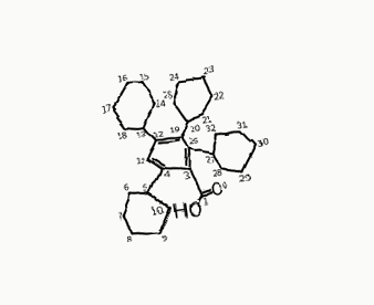 O=C(O)c1c(C2CCCCC2)cc(C2CCCCC2)c(C2CCCCC2)c1C1CCCCC1